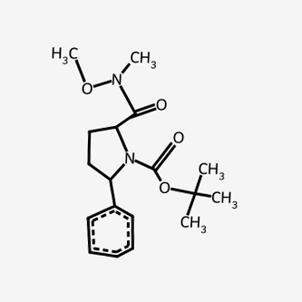 CON(C)C(=O)C1CCC(c2ccccc2)N1C(=O)OC(C)(C)C